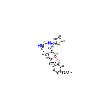 COc1cccc(Oc2cc3c(cc2OC)CCN/C=N\C(c2cccs2)=C\3)c1